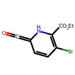 CCOC(=O)C1=C(Br)C=CC(=C=O)N1